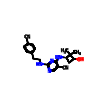 CC1(C)[C@@H](O)C[C@H]1Nc1nc(NCCc2ccc(C#N)cc2)ncc1C#N